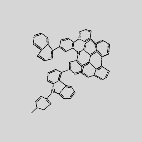 CC1C=CC(n2c3ccccc3c3c(-c4cccc(N(c5cc(-c6cccc7ccccc67)ccc5-c5ccccc5)c5ccccc5-c5cccc6cccc(-c7ccccc7)c56)c4)cccc32)=CC1